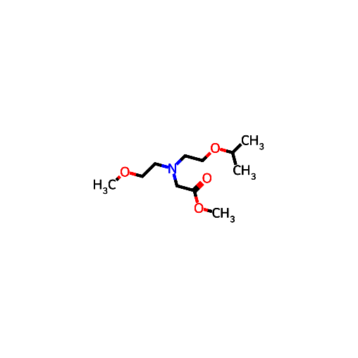 COCCN(CCOC(C)C)CC(=O)OC